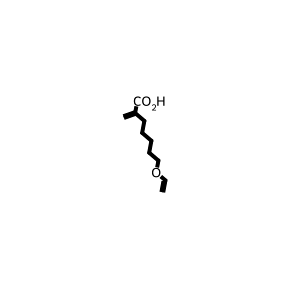 C=COCCCCCC(=C)C(=O)O